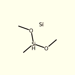 CO[SiH](C)OC.[Si]